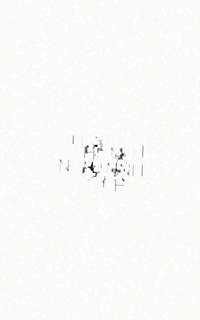 Cc1ncc(-c2nc(-c3cc(S(=O)(=O)NC45CCC(C#N)(C4)C5)ccc3C)cnc2N)s1.O=C(O)C(F)(F)F